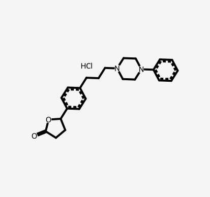 Cl.O=C1CCC(c2ccc(CCCN3CCN(c4ccccc4)CC3)cc2)O1